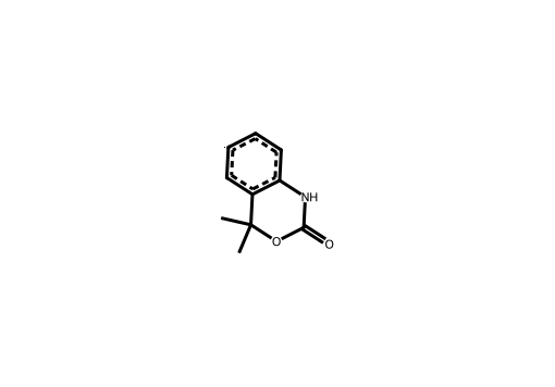 CC1(C)OC(=O)Nc2cc[c]cc21